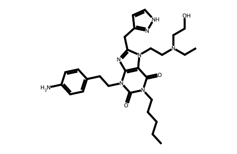 CCCCCn1c(=O)c2c(nc(Cc3cc[nH]n3)n2CCN(CC)CCO)n(CCc2ccc(N)cc2)c1=O